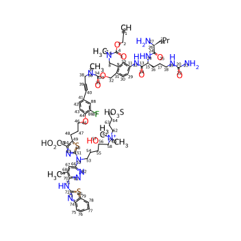 C#CCOC(=O)N(C)Cc1cc(NC(=O)[C@H](CCCNC(N)=O)NC(=O)[C@@H](N)C(C)C)ccc1COC(=O)N(C)CC#Cc1ccc(OCCCc2sc(N(CCCC(O)C[N+](C)(C)CCCS(=O)(=O)O)c3cc(C)c(Nc4nc5ccccc5s4)nn3)nc2C(=O)O)c(F)c1